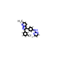 Cc1ccc2c(-c3ccc(Nc4ncccn4)cc3)c(-c3cccc(C(F)(F)F)c3)nn2n1